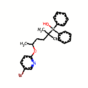 CC(CCC(C)(C)[Si](O)(c1ccccc1)c1ccccc1)Oc1ccc(Br)cn1